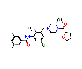 Cc1c(CN2CCN(C(=O)[C@@H]3CCCO3)[C@@H](C)C2)cc(Cl)cc1NC(=O)c1cc(F)cc(F)c1